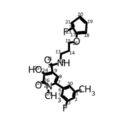 Cc1cc(F)cc(-c2cc(C(=O)NCCCOc3ccccc3F)c(O)c(=O)n2C)c1